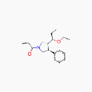 CCO[C@H](CC)[C@H]1CN(C(=O)CC)C[C@@H]1c1ccccc1